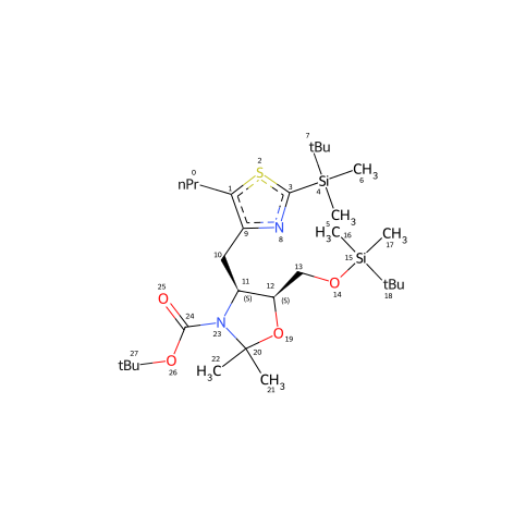 CCCc1sc([Si](C)(C)C(C)(C)C)nc1C[C@H]1[C@@H](CO[Si](C)(C)C(C)(C)C)OC(C)(C)N1C(=O)OC(C)(C)C